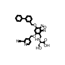 N#Cc1cc(COc2cc(OCc3cccc(-c4ccccc4)c3)c3nonc3c2CN[C@H](CO)C(=O)O)ccn1